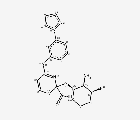 NC(=O)C1(N[C@@H]2CCC[C@H](F)[C@@H]2N)N=C(Nc2cccc(-n3nccn3)c2)C=CN1